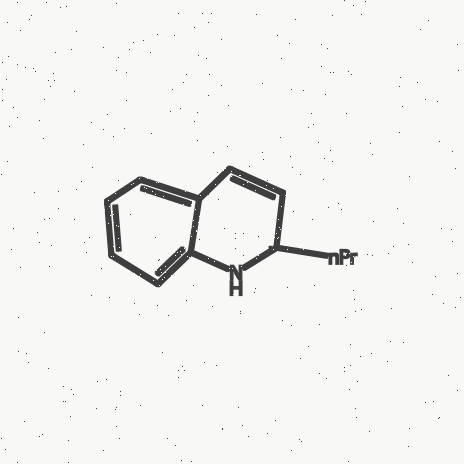 CCC[C]1C=Cc2ccccc2N1